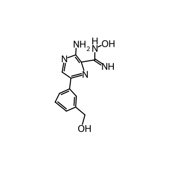 N=C(NO)c1nc(-c2cccc(CO)c2)cnc1N